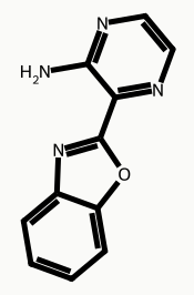 Nc1nccnc1-c1nc2ccccc2o1